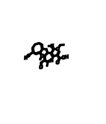 C=C(C(=O)O)C1=C(/C(=N\C)OCC)C(CC2=CCC/C=C(C#N)\C=C/2OC)C=C(C=O)C(C)=N1